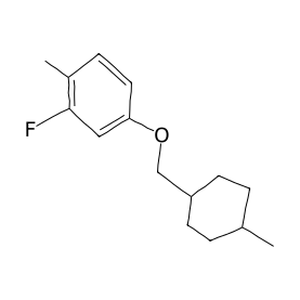 Cc1ccc(OCC2CCC(C)CC2)cc1F